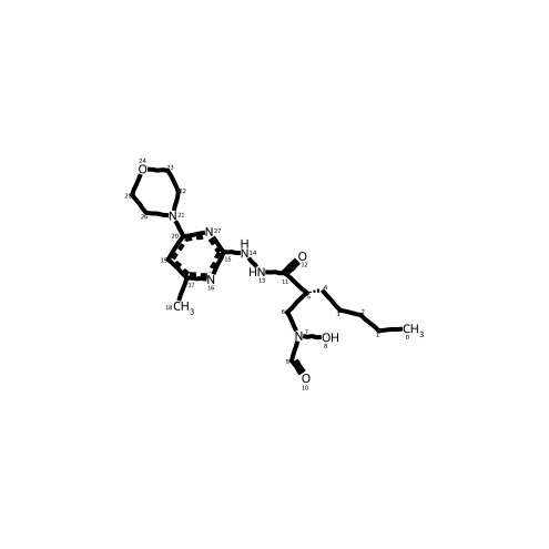 CCCCC[C@H](CN(O)C=O)C(=O)NNc1nc(C)cc(N2CCOCC2)n1